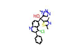 Cc1nc(C)c(C(O)(c2ccc3ncc(-c4ccccc4)c(Cl)c3c2)c2cnnn2C)s1